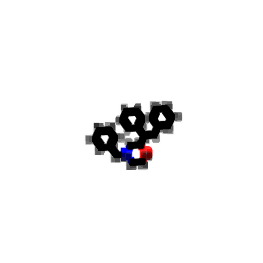 C(=C(/c1ccccc1)C1CN(Cc2ccccc2)CCO1)/c1ccccc1